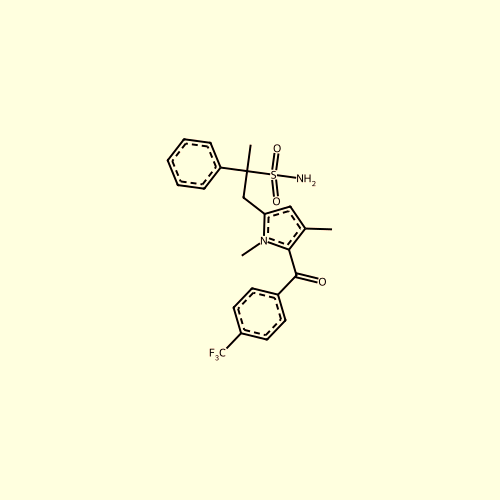 Cc1cc(CC(C)(c2ccccc2)S(N)(=O)=O)n(C)c1C(=O)c1ccc(C(F)(F)F)cc1